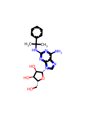 CC(C)(Nc1nc(N)c2ncn([C@@H]3O[C@H](CO)[C@@H](O)[C@H]3O)c2n1)c1ccccc1